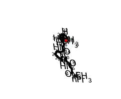 CCCN(C)C(=O)CNC(=O)c1cn2c(C(=O)NC[C@@H]3CC[C@H]4C[C@@H]3C4(C)C)cccc2n1